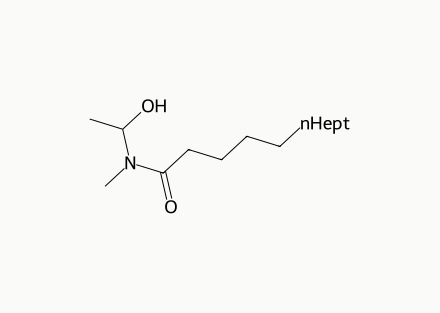 CCCCCCCCCCCC(=O)N(C)C(C)O